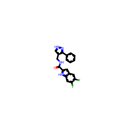 O=C(NCc1c[nH]nc1-c1ccccc1)c1cc2cc(F)c(F)cc2[nH]1